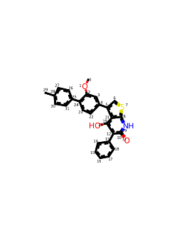 COc1cc(-c2csc3[nH]c(=O)c(-c4ccccc4)c(O)c23)ccc1-c1ccc(C)cc1